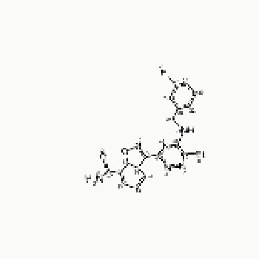 CCc1nnc(C2=NOC3C(C(N)=O)=CC=CC23)nc1NCc1cccc(F)c1